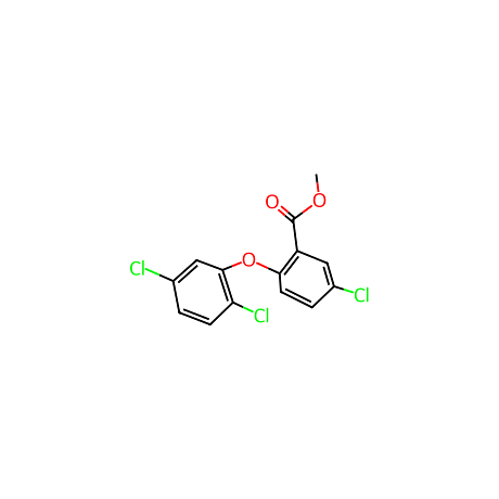 COC(=O)c1cc(Cl)ccc1Oc1cc(Cl)ccc1Cl